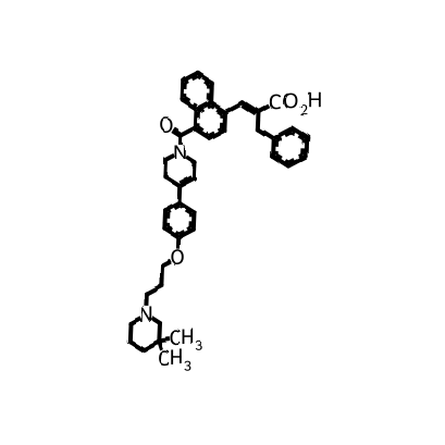 CC1(C)CCCN(CCCOc2ccc(C3=CCN(C(=O)c4ccc(C=C(Cc5ccccc5)C(=O)O)c5ccccc45)CC3)cc2)C1